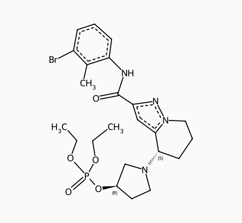 CCOP(=O)(OCC)O[C@@H]1CCN([C@H]2CCCn3nc(C(=O)Nc4cccc(Br)c4C)cc32)C1